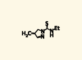 C=C1C=NN(C(=S)NCC)C1